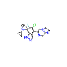 CN(c1c(F)c(Cl)c(-c2cn3ccnc3cn2)c2cn[nH]c12)C1CC1